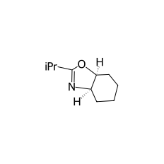 CC(C)C1=N[C@@H]2CCCC[C@@H]2O1